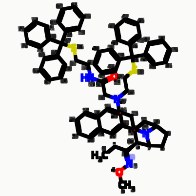 CC/C(=N\OC)[C@@H]1C2CCC(C[C@@H]1c1ccc3ccccc3c1)N2CCCN(CCSC(c1ccccc1)(c1ccccc1)c1ccccc1)CC(=O)NCCSC(c1ccccc1)(c1ccccc1)c1ccccc1